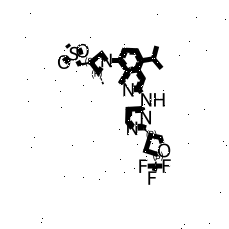 CC(C)c1ccc(N2C[C@H](CS(C)(=O)=O)[C@H]2C)c2cnc(Nc3ccnc([C@@H]4CO[C@H](C(F)(F)F)C4)n3)cc12